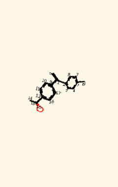 C=C(c1ccc(C)cc1)c1ccc(C(C)=O)cc1